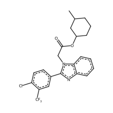 CC1CCCC(OC(=O)Cn2c(-c3ccc(Cl)c(C(F)(F)F)c3)nc3ccccc32)C1